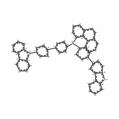 c1ccc2c(c1)ccc1cccc(N(c3ccc(-c4ccc(-n5c6ccccc6c6ccccc65)cc4)cc3)c3ccc(-c4ccc5sc6ccccc6c5c4)cc3)c12